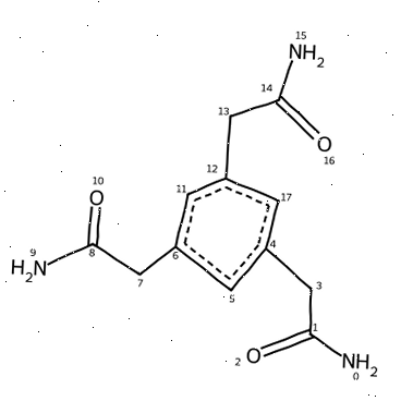 NC(=O)Cc1cc(CC(N)=O)cc(CC(N)=O)c1